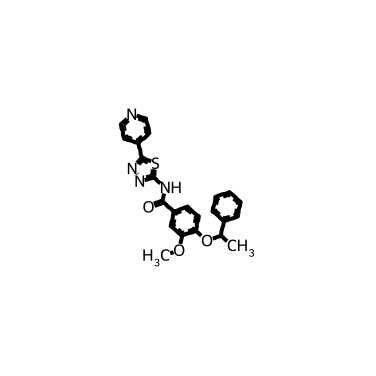 COc1cc(C(=O)Nc2nnc(-c3ccncc3)s2)ccc1OC(C)c1ccccc1